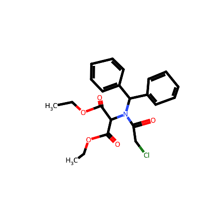 CCOC(=O)C(C(=O)OCC)N(C(=O)CCl)C(c1ccccc1)c1ccccc1